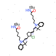 CC(C)(C)NC(=O)CCCCCN1/C(=C/C=C2\CCC(/C=C/C3=[N+](CCCCCC(=O)NC(C)(C)C)c4ccccc4C3(C)C)C2Cl)C(C)(C)c2ccccc21